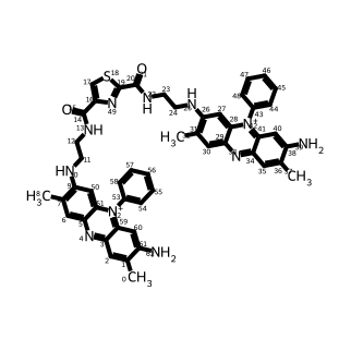 Cc1cc2nc3cc(C)c(NCCNC(=O)c4csc(C(=O)NCCNc5cc6c(cc5C)nc5cc(C)c(N)cc5[n+]6-c5ccccc5)n4)cc3[n+](-c3ccccc3)c2cc1N